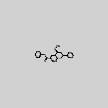 O=C(Nc1ccccc1)c1cnc2c(c1)/C(=N/O)CC(c1ccccc1)C2